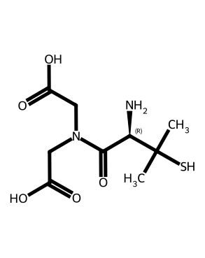 CC(C)(S)[C@H](N)C(=O)N(CC(=O)O)CC(=O)O